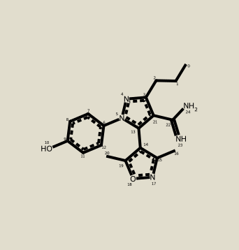 CCCc1nn(-c2ccc(O)cc2)c(-c2c(C)noc2C)c1C(=N)N